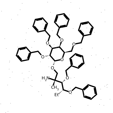 CC[C@@H](OCc1ccccc1)[C@@H](OCc1ccccc1)[C@](C)(N)CO[C@H]1O[C@H](COCc2ccccc2)[C@H](OCc2ccccc2)[C@H](OCc2ccccc2)[C@H]1OCc1ccccc1